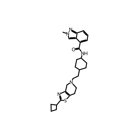 Cn1cc2c(C(=O)NC3CCC(CCN4CCc5sc(C6CCC6)nc5C4)CC3)cccc2n1